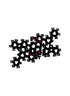 C=Cc1c(N(c2ccc(-c3ccccc3)cc2-c2ccccc2)c2cccc3c2oc2ccccc23)cc(C(C)C)c2ccc3c(N(c4ccc(-c5ccccc5)cc4-c4ccccc4)c4cccc5c4oc4ccccc45)cc(C(C)C)c(C)c3c12